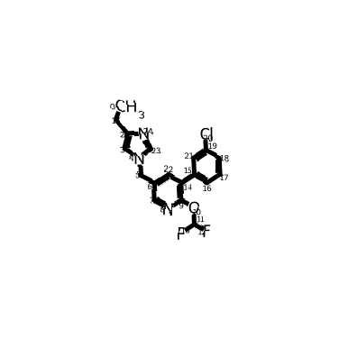 CCc1cn(Cc2cnc(OC(F)F)c(-c3cccc(Cl)c3)c2)cn1